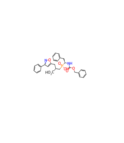 O=C(N[C@H](Cc1ccccc1)P(=O)(O)CC(Cc1cc(-c2ccccc2)no1)C(=O)O)OCc1ccccc1